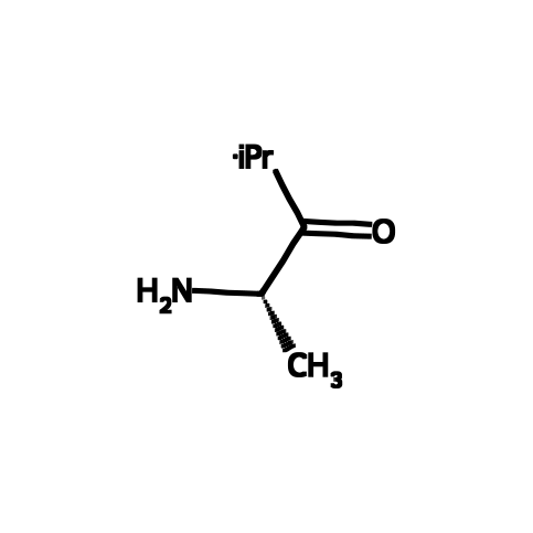 C[C](C)C(=O)[C@H](C)N